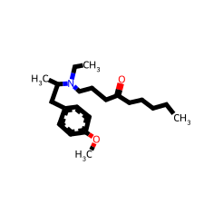 CCCCCC(=O)CCCN(CC)C(C)Cc1ccc(OC)cc1